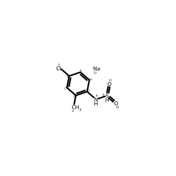 Cc1cc(Cl)ccc1N[SH](=O)=O.[Na]